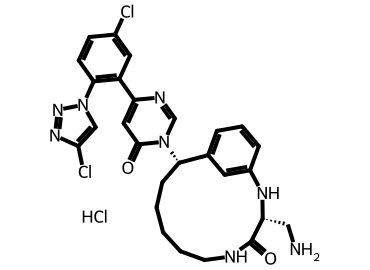 Cl.NC[C@H]1Nc2cccc(c2)[C@@H](n2cnc(-c3cc(Cl)ccc3-n3cc(Cl)nn3)cc2=O)CCCCCNC1=O